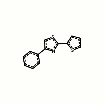 c1ccc(-c2csc(-c3cccs3)n2)cc1